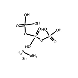 O=P(O)(O)OP(=O)(O)OP(=O)(O)O.[AlH2][PH2].[Zn]